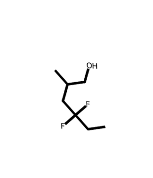 CCC(F)(F)CC(C)CO